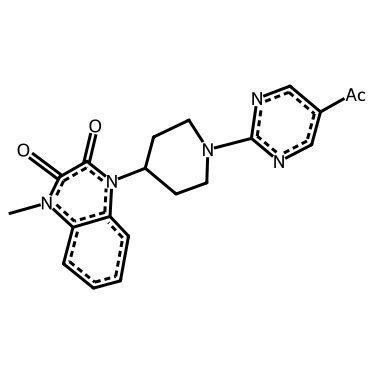 CC(=O)c1cnc(N2CCC(n3c(=O)c(=O)n(C)c4ccccc43)CC2)nc1